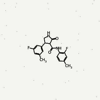 Cc1cc(F)cc(C2CNC(=O)C2C(=O)Nc2ccc(C)cc2F)c1